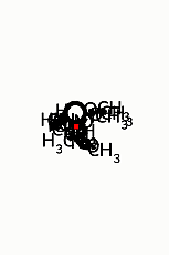 COc1ccc2nc(C(C)C)c3c(c2c1)CC[C@]1(C[C@H]2C(=O)N[C@]4(C(=O)NS(=O)(=O)C5(C)CC5)C[C@H]4/C=C\CCCCC[C@H](NC(=O)OCC(C)(C)C)C(=O)N2C1)O3